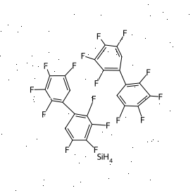 Fc1cc(-c2cc(F)c(F)c(F)c2F)c(F)c(F)c1F.Fc1cc(-c2cc(F)c(F)c(F)c2F)c(F)c(F)c1F.[SiH4]